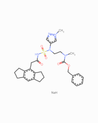 CN(CCN(c1cnn(C)c1)S(=O)(=O)NC(=O)Cc1c2c(cc3c1CCC3)CCC2)C(=O)OCc1ccccc1.[NaH]